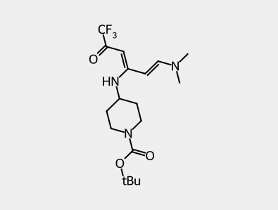 CN(C)/C=C/C(=C/C(=O)C(F)(F)F)NC1CCN(C(=O)OC(C)(C)C)CC1